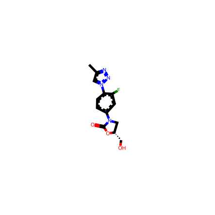 Cc1cn(-c2ccc(N3C[C@H](CO)OC3=O)cc2F)nn1